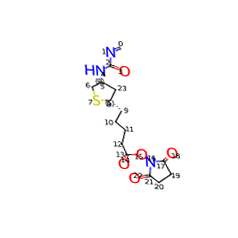 C=NC(=O)N[C@H]1CS[C@@H](CCCCC(=O)ON2C(=O)CCC2=O)C1